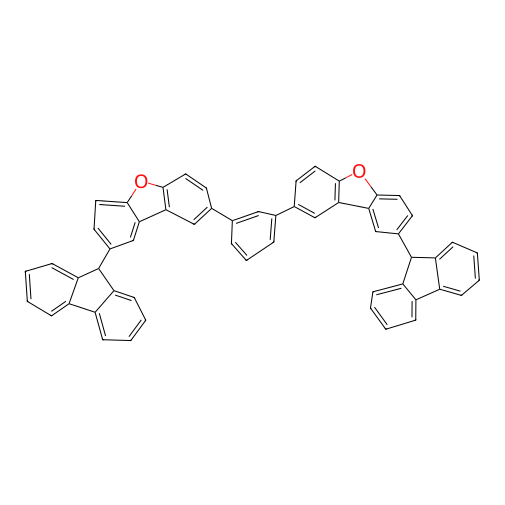 c1cc(-c2ccc3oc4ccc(C5c6ccccc6-c6ccccc65)cc4c3c2)cc(-c2ccc3oc4ccc(C5c6ccccc6-c6ccccc65)cc4c3c2)c1